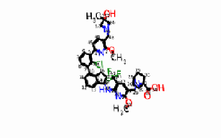 COc1nc(-c2cccc(-c3cccc4c3CC[C@@H]4Nc3nc(OC)c(CN4C5CCC4(C(=O)O)CC5)cc3C(F)(F)F)c2Cl)ccc1CN1CC(C)(O)C1